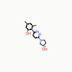 Cc1cc(C)c(-c2ccc(N3CC[C@H](O)C3)nn2)c(O)c1